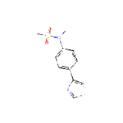 CN(c1ccc(-c2cs[c]n2)cc1)S(C)(=O)=O